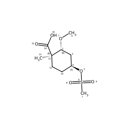 CO[C@@H]1C[C@@H](OS(C)(=O)=O)CC[C@@]1(C)C(=O)O